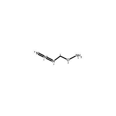 [N-]=[N+]=NCON